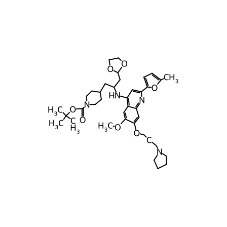 COc1cc2c(NC(CC3CCN(C(=O)OC(C)(C)C)CC3)CC3OCCO3)cc(-c3ccc(C)o3)nc2cc1OCCCN1CCCC1